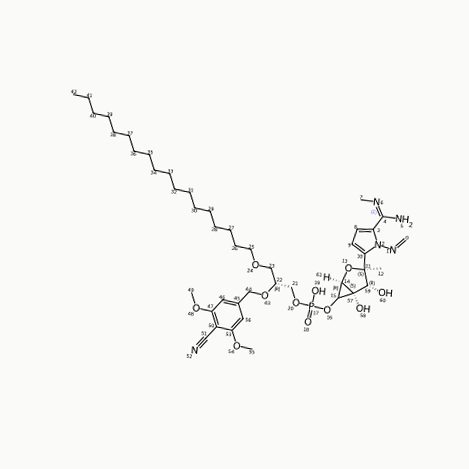 C=Nn1c(/C(N)=N\C)ccc1[C@]1(C)O[C@@H]2C(OP(=O)(O)OC[C@@H](COCCCCCCCCCCCCCCCCCC)OCc3cc(OC)c(C#N)c(OC)c3)[C@]2(O)[C@H]1O